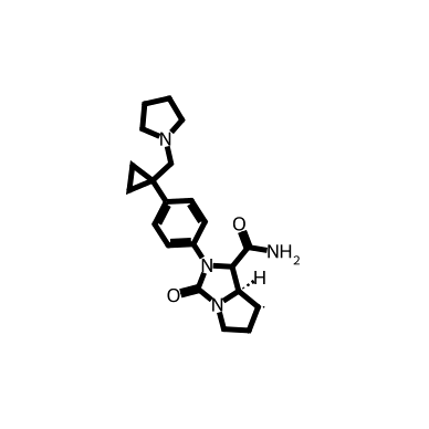 NC(=O)C1[C@H]2[CH]CCN2C(=O)N1c1ccc(C2(CN3CCCC3)CC2)cc1